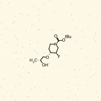 C[C@@H](O)CO[C@@H]1CCN(C(=O)OC(C)(C)C)C[C@H]1F